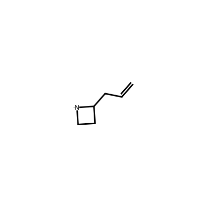 C=CCC1CC[N]1